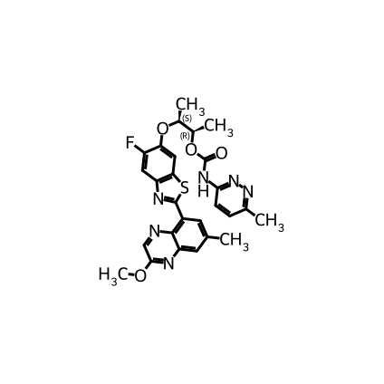 COc1cnc2c(-c3nc4cc(F)c(O[C@@H](C)[C@@H](C)OC(=O)Nc5ccc(C)nn5)cc4s3)cc(C)cc2n1